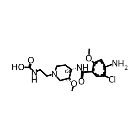 COc1cc(N)c(Cl)cc1C(=O)N[C@H]1CCN(CCNC(=O)O)C[C@H]1OC